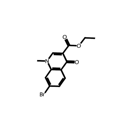 CCOC(=O)c1cn(C)c2cc(Br)ccc2c1=O